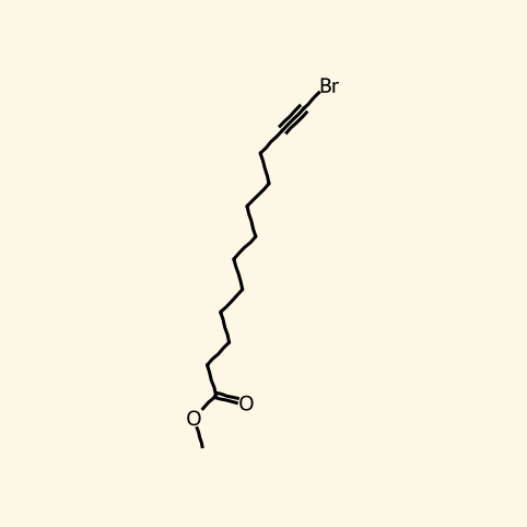 COC(=O)CCCCCCCCCC#CBr